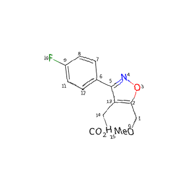 COCc1onc(-c2ccc(F)cc2)c1CC(=O)O